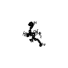 CC1c2cc3c4c(n(-c5cccnc5)c3cc2-c2cc3c(cc2C1C)c1cc(-c2ccc5c(c2)C2C=CC=CC2N5)ccc1n3-c1cc[nH]c1)CCC(c1ccc2[nH]c3ccccc3c2c1)=C4